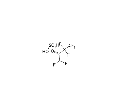 O=C(C(F)F)C(F)(F)C(F)(F)F.O=S(=O)(O)O